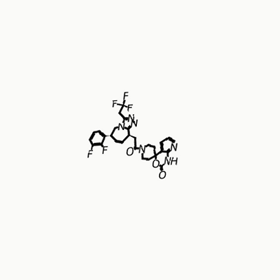 O=C1Nc2ncccc2C2(CCN(C(=O)C[C@H]3CC[C@H](c4cccc(F)c4F)Cn4c(CC(F)(F)F)nnc43)CC2)O1